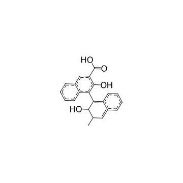 CC1C=c2ccccc2=C(c2c(O)c(C(=O)O)cc3ccccc23)C1O